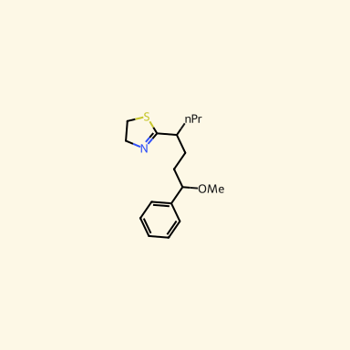 CCCC(CCC(OC)c1ccccc1)C1=NCCS1